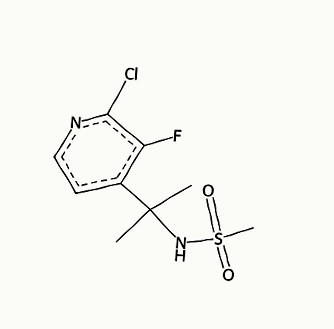 CC(C)(NS(C)(=O)=O)c1ccnc(Cl)c1F